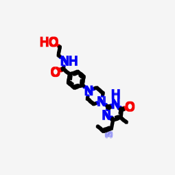 C/C=C\c1nc(N2CCN(c3ccc(C(=O)NCCO)cc3)CC2)[nH]c(=O)c1C